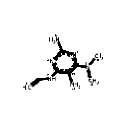 C=CNc1nc(N)nc(N(C)C)c1N